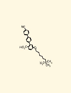 C[Si](C)(C)CCCCCCOc1ccc(C(=O)O)c(-c2ccc(-c3ccc(C#N)cc3)cc2)c1